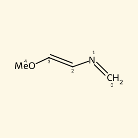 C=NC=COC